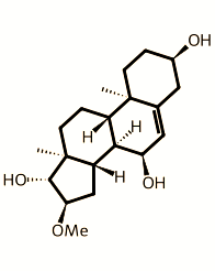 CO[C@@H]1C[C@H]2[C@@H]3[C@H](O)C=C4C[C@H](O)CC[C@]4(C)[C@H]3CC[C@]2(C)[C@H]1O